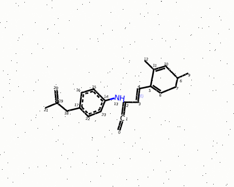 C=C=C(/C=C/C1=CCC(C)C=C1C)Nc1ccc(CC(=C)C)cc1